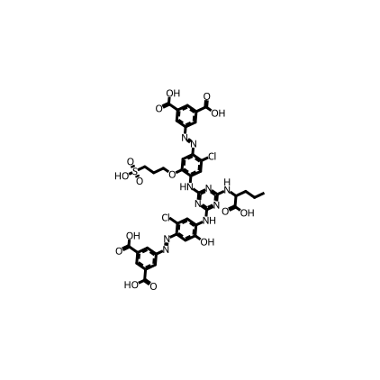 CCCC(Nc1nc(Nc2cc(Cl)c(N=Nc3cc(C(=O)O)cc(C(=O)O)c3)cc2O)nc(Nc2cc(Cl)c(N=Nc3cc(C(=O)O)cc(C(=O)O)c3)cc2OCCCS(=O)(=O)O)n1)C(=O)O